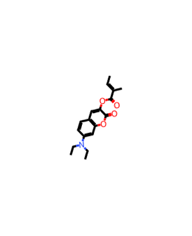 CC=C(C)C(=O)Oc1cc2ccc(N(CC)CC)cc2oc1=O